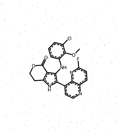 COc1c(Cl)cccc1Nc1c(-c2ccnc3ccc(F)nc23)[nH]c2c1C(=O)OCC2